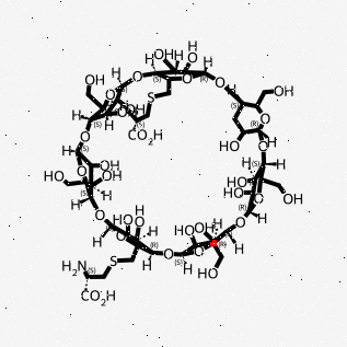 N[C@H](CSCC1O[C@H]2O[C@H]3CC(O)[C@H](OC3CO)O[C@@H]3C(CO)O[C@H](O[C@@H]4C(CO)O[C@@H](O[C@H]5C(CSC[C@@H](N)C(=O)O)O[C@H](O[C@@H]6C(CO)O[C@@H](O[C@@H]7C(CO)O[C@@H](O[C@H]1[C@H](O)C2O)C(O)[C@H]7O)C(O)[C@H]6O)C(O)[C@H]5O)C(O)[C@H]4O)C(O)[C@H]3O)C(=O)O